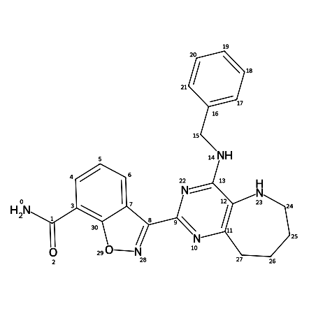 NC(=O)c1cccc2c(-c3nc4c(c(NCc5ccccc5)n3)NCCCC4)noc12